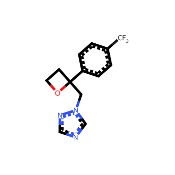 FC(F)(F)c1ccc(C2(Cn3cncn3)CCO2)cc1